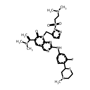 C=C(c1cc2cnc(Nc3ccc(C4CN(C)CCS4)c(F)c3)nc2n(Cc2ccnn2S(=O)(=O)CCN(C)C)c1=O)N(C)C